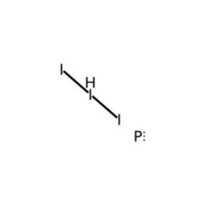 I[IH]I.[P]